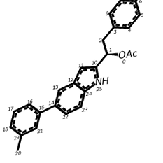 CC(=O)O[C@H](Cc1ccc(C)cc1)c1cc2cc(-c3cccc(C)c3)ccc2[nH]1